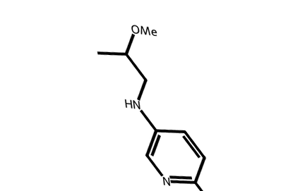 COC(C)CNc1ccc(C)nc1